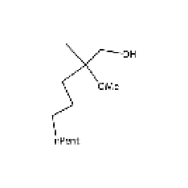 CCCCCCCCC(C)(CO)OC